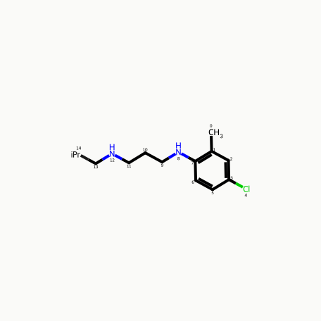 Cc1cc(Cl)ccc1NCCCNCC(C)C